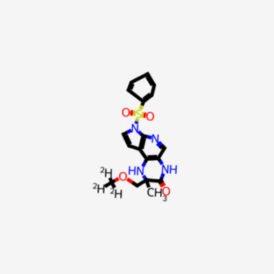 [2H]C([2H])([2H])OCC1(C)Nc2c(cnc3c2ccn3S(=O)(=O)c2ccccc2)NC1=O